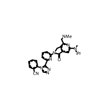 CNCc1nc(N(C)C(C)C)cc2c1CN(c1cccc(-c3nncn3-c3ccccc3C#N)n1)C2=O